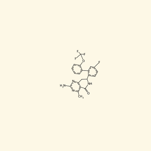 Cc1nc(N)nc2c1C(=O)NC(c1ccc(F)cc1-c1ccccc1OC(F)(F)F)C2